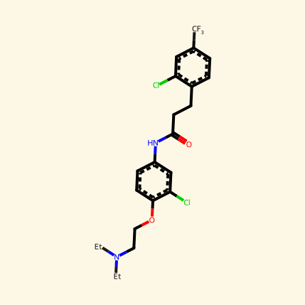 CCN(CC)CCOc1ccc(NC(=O)CCc2ccc(C(F)(F)F)cc2Cl)cc1Cl